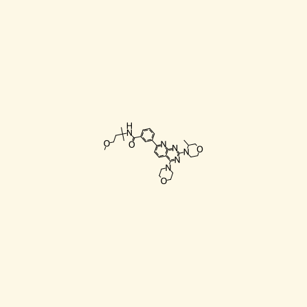 COCCC(C)(C)NC(=O)c1cccc(-c2ccc3c(N4CCOCC4)nc(N4CCOCC4C)nc3n2)c1